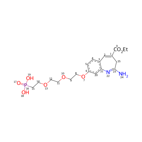 CCOC(=O)C1=Cc2ccc(OCCOCCOCCP(=O)(O)O)cc2N=C(N)C1